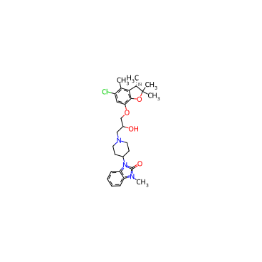 Cc1c(Cl)cc(OCC(O)CN2CCC(n3c(=O)n(C)c4ccccc43)CC2)c2c1[C@H](C)C(C)(C)O2